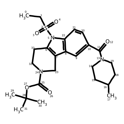 CCS(=O)(=O)n1c2c(c3cc(C(=O)N4CCC(C)CC4)ccc31)CN(C(=O)OC(C)(C)C)CC2